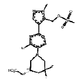 CCc1nc(-c2nnn(C)c2COS(C)(=O)=O)ccc1N1C[C@@H](CC(=O)O)CC(F)(F)C1